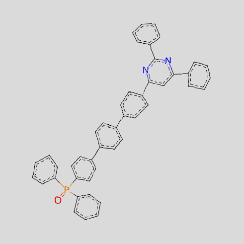 O=P(c1ccccc1)(c1ccccc1)c1ccc(-c2ccc(-c3ccc(-c4cc(-c5ccccc5)nc(-c5ccccc5)n4)cc3)cc2)cc1